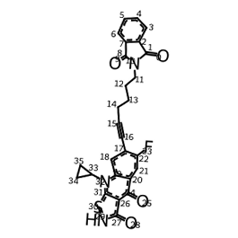 O=C1c2ccccc2C(=O)N1CCCCC#Cc1cc2c(cc1F)c(=O)c1c(=O)[nH]sc1n2C1CC1